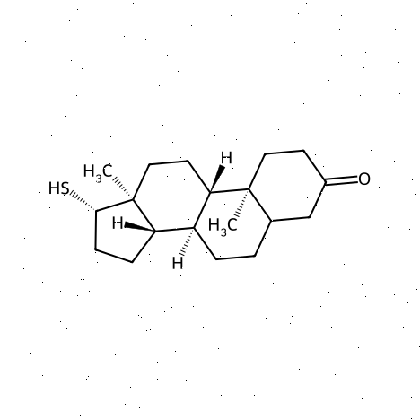 C[C@]12CC[C@H]3[C@@H](CCC4CC(=O)CC[C@@]43C)[C@@H]1CC[C@@H]2S